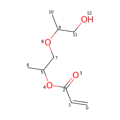 C=CC(=O)OC(C)COC(C)CO